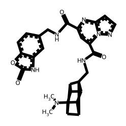 CN(C)C12C3C4C1C1C2C3C41CNC(=O)c1cc(C(=O)NCc2ccc3oc(=O)[nH]c3c2)nc2ccnn12